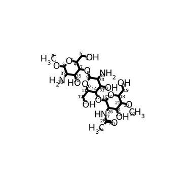 COC1OC(CO)C(OC2OC(CO)C(OC3OC(CO)C(OC)C(O)C3NC(C)=O)C(O)C2N)C(O)C1N